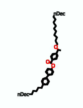 CCCCCCCCCCCCCCCCCCCCOC(C)c1ccc(C(=O)Oc2ccc(-c3ccc(CCCCCCCCCCCCCCC)cc3)cc2)cc1